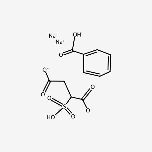 O=C(O)c1ccccc1.O=C([O-])CC(C(=O)[O-])S(=O)(=O)O.[Na+].[Na+]